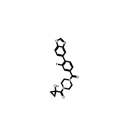 O=C(c1ccc(-c2ccc3ocnc3c2)c(F)c1)N1CCN(C(=O)C2(O)CC2)CC1